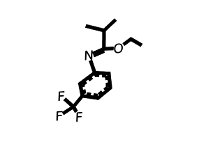 CCOC(=Nc1cccc(C(F)(F)F)c1)C(C)C